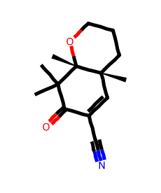 CC1(C)C(=O)C(C#N)=C[C@@]2(C)CCCO[C@@]12C